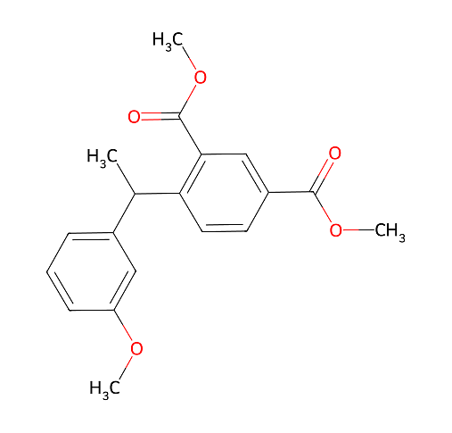 COC(=O)c1ccc(C(C)c2cccc(OC)c2)c(C(=O)OC)c1